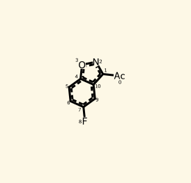 CC(=O)c1noc2ccc(F)cc12